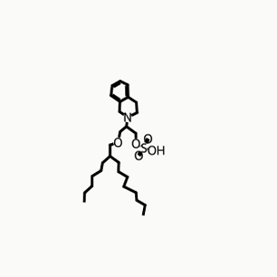 CCCCCCCCC(CCCCCC)COCC(COS(=O)(=O)O)N1CCc2ccccc2C1